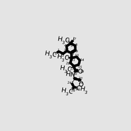 CCCC1C[C@@](C)(I)CC=C1[C@]1(C)CCC[C@@](C)(C(=O)N[C@H](C=O)CC(C)C)C1